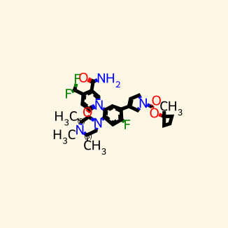 C[C@@H]1CN(c2cc(F)c(C3=CCN(C(=O)OC4(C)CCC4)C3)cc2-n2cc(C(N)=O)c(C(F)F)cc2=O)C[C@H](C)N1C